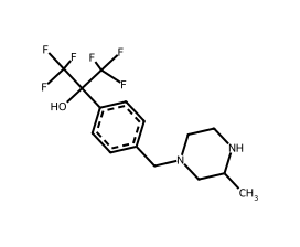 CC1CN(Cc2ccc(C(O)(C(F)(F)F)C(F)(F)F)cc2)CCN1